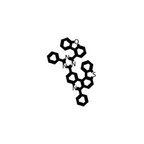 c1ccc(-c2nc(-c3ccc4nc(-c5ccccc5)c5ccc6sc7ccccc7c6c5c4c3)nc(-c3cccc4oc5ccccc5c34)n2)cc1